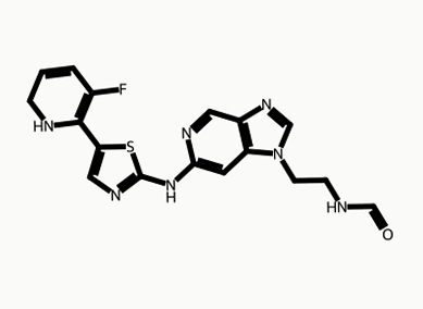 O=CNCCn1cnc2cnc(Nc3ncc(C4=C(F)C=CCN4)s3)cc21